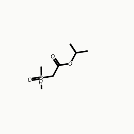 CC(C)OC(=O)C[SH](C)(C)=O